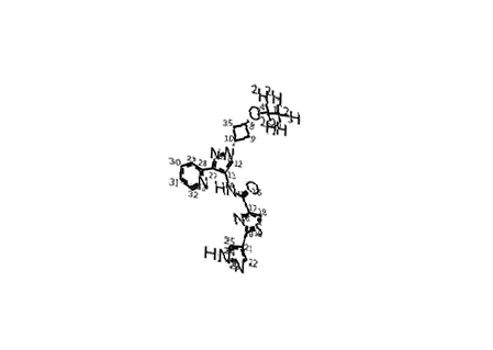 [2H]C([2H])([2H])C([2H])([2H])O[C@H]1C[C@H](n2cc(NC(=O)c3csc(-c4cn[nH]c4)n3)c(-c3ccccn3)n2)C1